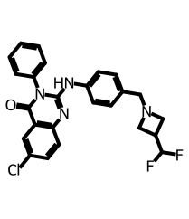 O=c1c2cc(Cl)ccc2nc(Nc2ccc(CN3CC(C(F)F)C3)cc2)n1-c1ccccc1